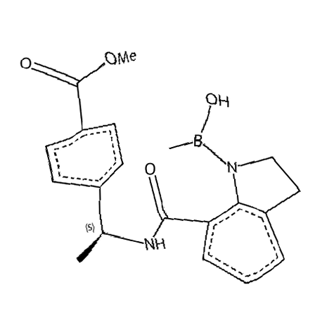 COC(=O)c1ccc([C@H](C)NC(=O)c2cccc3c2N(B(C)O)CC3)cc1